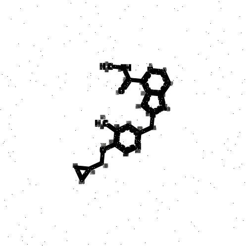 CNC(=O)c1nccc2nn(Cc3cc(C)c(OCC4CC4)cn3)cc12